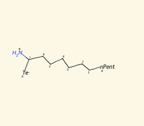 CCCCCCCCCCCC(N)[Te]